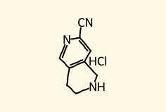 Cl.N#Cc1cc2c(cn1)CCNC2